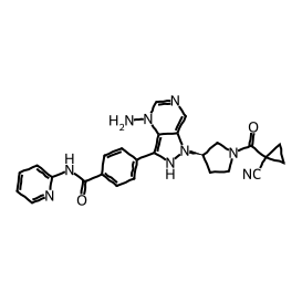 N#CC1(C(=O)N2CC[C@@H](N3NC(c4ccc(C(=O)Nc5ccccn5)cc4)=C4C3=CN=CN4N)C2)CC1